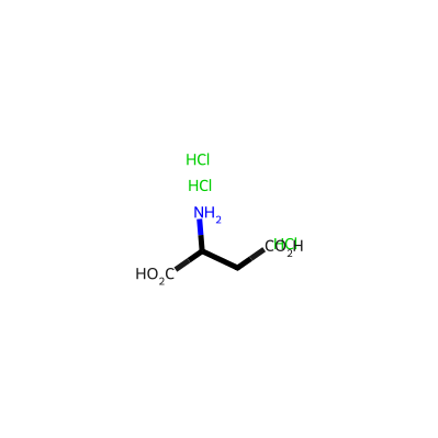 Cl.Cl.Cl.NC(CC(=O)O)C(=O)O